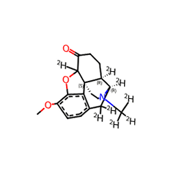 [2H]C([2H])([2H])N1CC[C@]23c4c5ccc(OC)c4OC2([2H])C(=O)CC[C@@]3([2H])[C@@]1([2H])C5([2H])[2H]